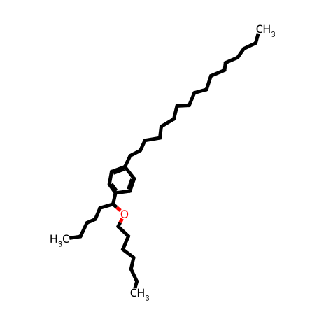 CCCCCCCCCCCCCCCCCc1ccc(C(CCCCC)OCCCCCCC)cc1